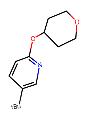 CC(C)(C)c1ccc(OC2CCOCC2)nc1